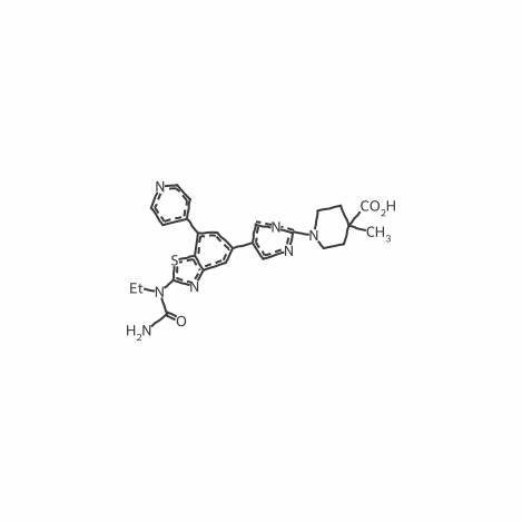 CCN(C(N)=O)c1nc2cc(-c3cnc(N4CCC(C)(C(=O)O)CC4)nc3)cc(-c3ccncc3)c2s1